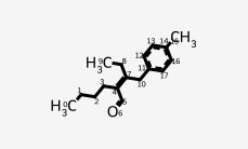 CCCC/C(C=O)=C(\CC)Cc1ccc(C)cc1